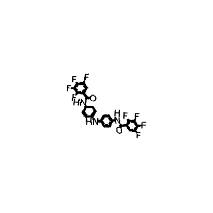 O=C(Nc1ccc(NC2=CCC(NC(=O)c3cc(F)c(F)c(F)c3F)C=C2)cc1)c1cc(F)c(F)c(F)c1F